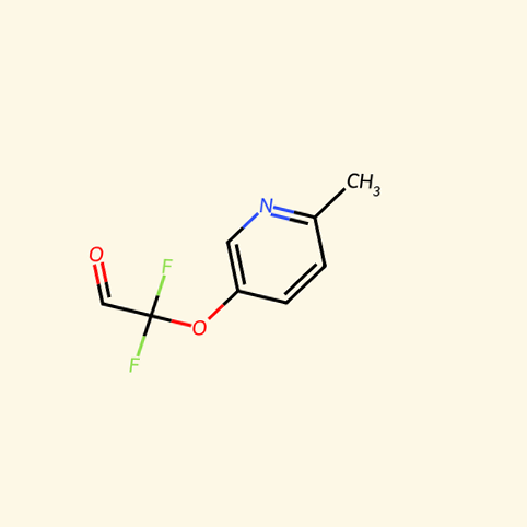 Cc1ccc(OC(F)(F)C=O)cn1